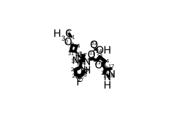 CCO[C@H]1C[C@H](n2cc(NC(=O)c3ccc(-c4cn[nH]c4)o3)c(-c3ccc(F)cn3)n2)C1.O=CO